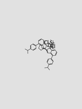 CC1=Cc2c(-c3ccc(C(C)C)cc3)cccc2[CH]1[Zr]([Cl])([Cl])([CH]1C(C2CCCC2)=Cc2c(-c3ccc(C(C)C)cc3)cccc21)[SiH](C)C